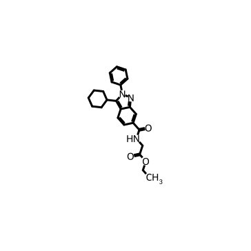 CCOC(=O)CNC(=O)c1ccc2c(C3CCCCC3)n(-c3ccccc3)nc2c1